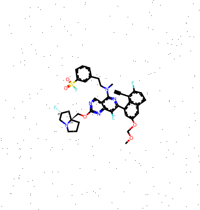 C#Cc1c(F)ccc2cc(OCOC)cc(-c3nc(N(C)CCc4cccc(S(=O)(=O)F)c4)c4cnc(OC[C@@]56CCCN5C[C@H](F)C6)nc4c3F)c12